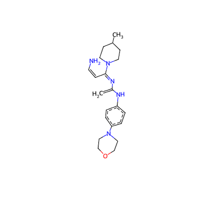 C=C(/N=C(\C=C/N)N1CCC(C)CC1)Nc1ccc(N2CCOCC2)cc1